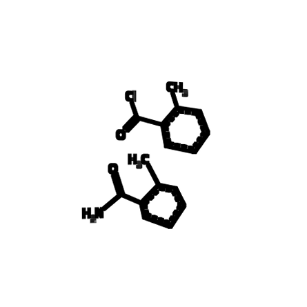 Cc1ccccc1C(=O)Cl.Cc1ccccc1C(N)=O